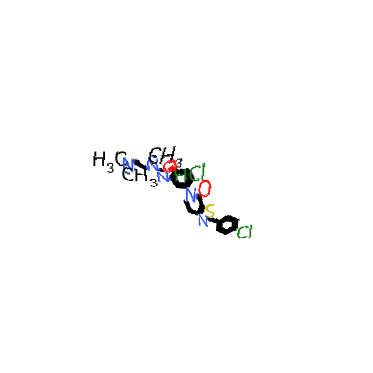 CN(C)CCN(C)c1nc2cc(N3CCc4nc(-c5ccc(Cl)cc5)sc4C3=O)ccc2o1.Cl